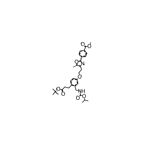 COC(=O)c1ccc(-c2nc(CCOc3ccc(CCC(=O)OC(C)(C)C)c(CNC(=O)OC(C)C)c3)c(C)o2)cc1